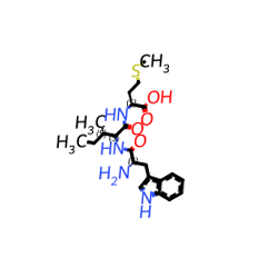 CC[C@H](C)[C@H](NC(=O)[C@@H](N)Cc1c[nH]c2ccccc12)C(=O)N[C@@H](CCSC)C(=O)O